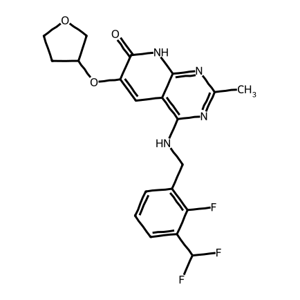 Cc1nc(NCc2cccc(C(F)F)c2F)c2cc(OC3CCOC3)c(=O)[nH]c2n1